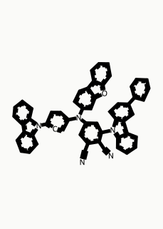 N#Cc1cc(N(c2ccc(-n3c4ccccc4c4ccccc43)cc2)c2ccc3c(c2)oc2ccccc23)cc(-n2c3ccccc3c3cc(-c4ccccc4)ccc32)c1C#N